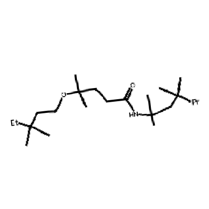 CCC(C)(C)CCOC(C)(C)CCC(=O)NC(C)(C)CC(C)(C)C(C)C